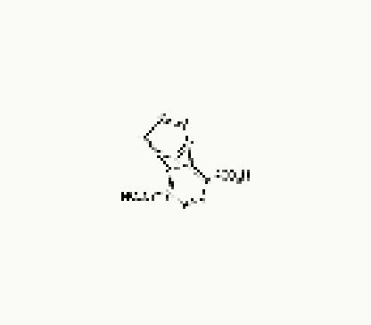 O=C(O)c1ccc(C(=O)O)c2c1-c1cccc-2c1